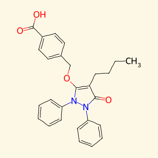 CCCCc1c(OCc2ccc(C(=O)O)cc2)n(-c2ccccc2)n(-c2ccccc2)c1=O